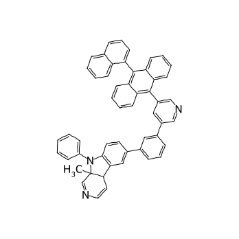 CC12C=NC=CC1c1cc(-c3cccc(-c4cncc(-c5c6ccccc6c(-c6cccc7ccccc67)c6ccccc56)c4)c3)ccc1N2c1ccccc1